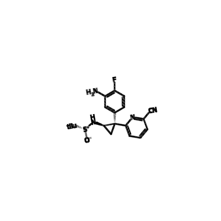 CC(C)(C)[S@@+]([O-])N[C@@H]1C[C@]1(c1ccc(F)c(N)c1)c1cccc(C#N)n1